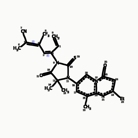 C=C/C(=C\C(=C(/C)C#N)C(F)(F)F)N1C(=O)C(C)(C)N(c2cc(C)c3nc(CC)cc(=O)n3c2)C1=S